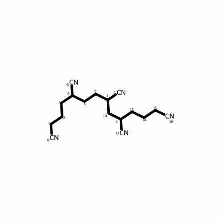 N#CCCCC(C#N)CCC(C#N)CC(C#N)CCCC#N